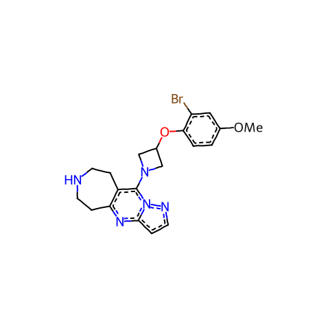 COc1ccc(OC2CN(c3c4c(nc5ccnn35)CCNCC4)C2)c(Br)c1